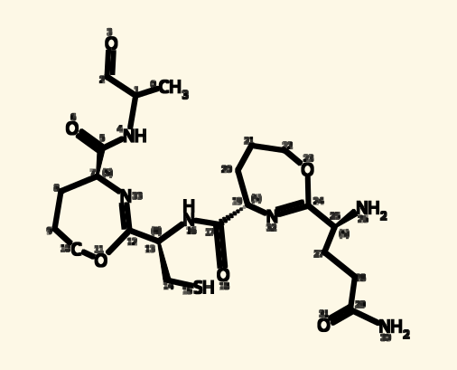 CC(C=O)NC(=O)[C@@H]1CCCOC([C@H](CS)NC(=O)[C@@H]2CCCOC([C@@H](N)CCC(N)=O)=N2)=N1